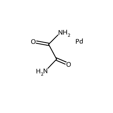 NC(=O)C(N)=O.[Pd]